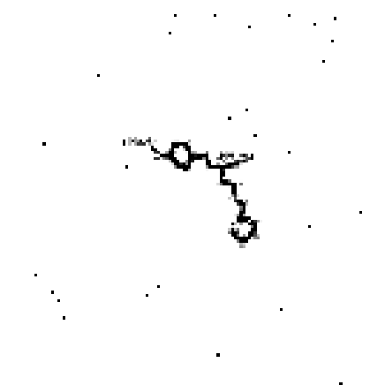 CCCCCCCOc1ccc(CC[C@@](N)(CO)CCOCc2ccccc2)cc1